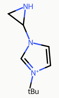 CC(C)(C)[n+]1ccn(C2CN2)c1